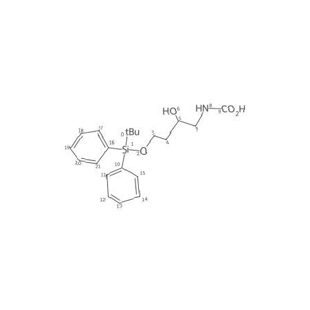 CC(C)(C)[Si](OCCC(O)CNC(=O)O)(c1ccccc1)c1ccccc1